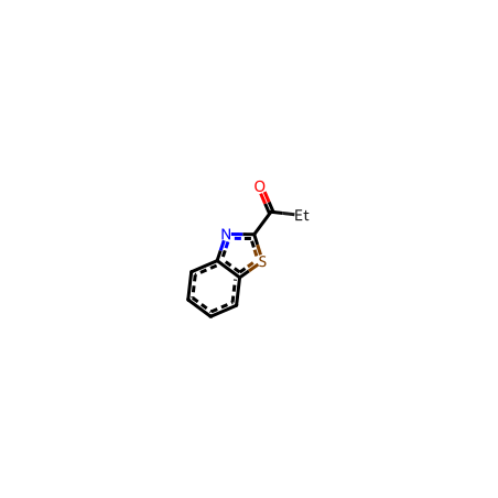 CCC(=O)c1nc2ccccc2s1